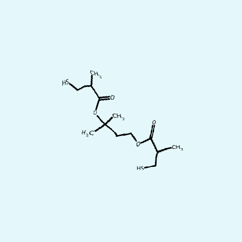 CC(CS)C(=O)OCCC(C)(C)OC(=O)C(C)CS